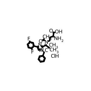 CC(=O)N(CC[C@H](N)C(=O)O)[C@@H](c1nc(-c2cc(F)ccc2F)cn1Cc1ccccc1)C(C)(C)C.Cl